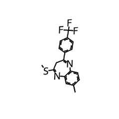 CSC1=Nc2cc(C)ccc2N=C(c2ccc(C(F)(F)F)cc2)C1